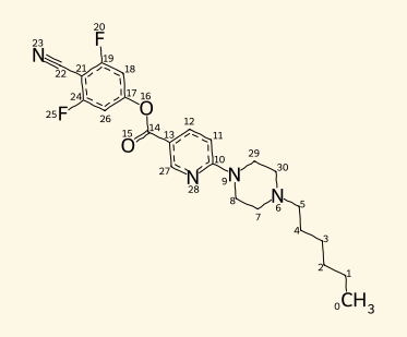 CCCCCCN1CCN(c2ccc(C(=O)Oc3cc(F)c(C#N)c(F)c3)cn2)CC1